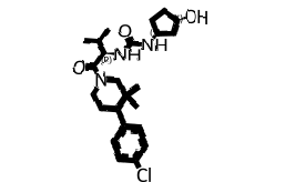 CC(C)[C@@H](NC(=O)N[C@H]1CC[C@H](O)C1)C(=O)N1CCC(c2ccc(Cl)cc2)C(C)(C)C1